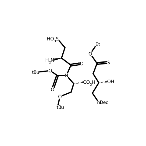 CC(C)(C)OC[C@@H](C(=O)O)N(C(=O)OC(C)(C)C)C(=O)[C@@H](N)CS(=O)(=O)O.CCCCCCCCCCC[C@@H](O)CC(=S)OCC